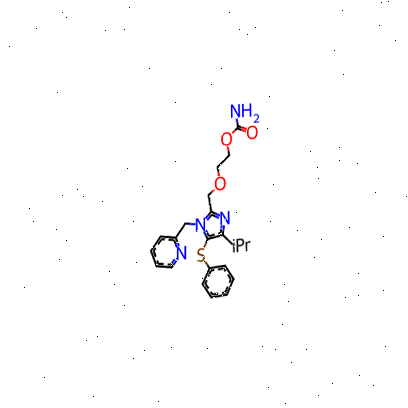 CC(C)c1nc(COCCOC(N)=O)n(Cc2ccccn2)c1Sc1ccccc1